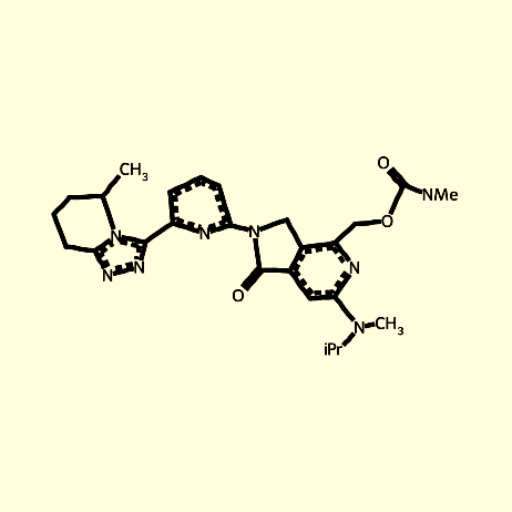 CNC(=O)OCc1nc(N(C)C(C)C)cc2c1CN(c1cccc(-c3nnc4n3C(C)CCC4)n1)C2=O